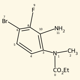 CCOC(=O)N(C)c1ccc(Br)c(F)c1N